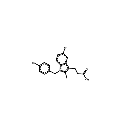 Cc1c(CCC(=O)O)c2cc(Br)ccc2n1Cc1ccc(Br)cc1